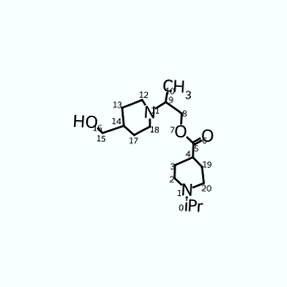 CC(C)N1CCC(C(=O)OCC(C)N2CCC(CO)CC2)CC1